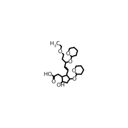 CCOCCC(C=CC1C(OC2CCCCO2)CC(O)C1CC(=O)O)OC1CCCCO1